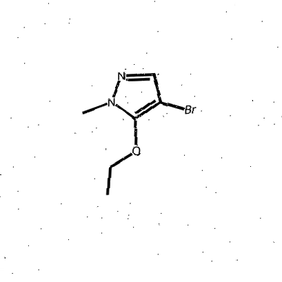 CCOc1c(Br)[c]nn1C